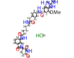 COc1cc(C(=O)Nc2ccc(CC(=O)NCCCCCC(=O)Nc3cccc4c3CN(C3CCC(=O)NC3=O)C4=O)cc2)ccc1NC(=N)N.Cl